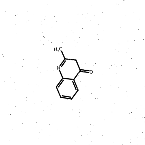 CC1=Nc2ccccc2C(=O)C1